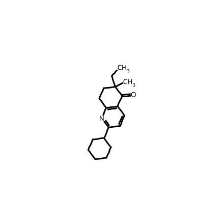 CCC1(C)CCc2nc(C3CCCCC3)ccc2C1=O